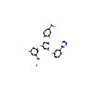 CCOC(=O)c1cc(OC)c(OC)c(Oc2c(F)c(Oc3cccc(-c4nccn4C)c3)nc(Oc3cc(C(=N)N)ccc3O)c2F)c1